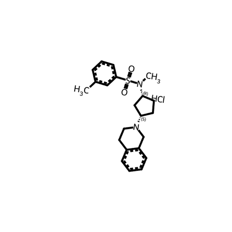 Cc1cccc(S(=O)(=O)N(C)[C@@H]2CC[C@H](N3CCc4ccccc4C3)C2)c1.Cl